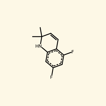 CC1(C)C=Cc2c(F)cc(F)cc2N1